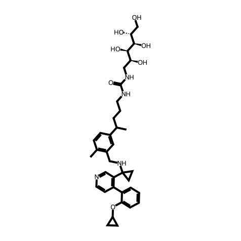 Cc1ccc(C(C)CCCNC(=O)NC[C@H](O)[C@@H](O)[C@H](O)[C@H](O)CO)cc1CNC1(c2cnccc2-c2ccccc2OC2CC2)CC1